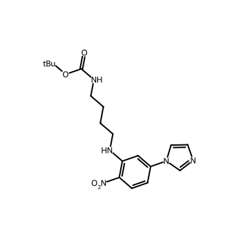 CC(C)(C)OC(=O)NCCCCNc1cc(-n2ccnc2)ccc1[N+](=O)[O-]